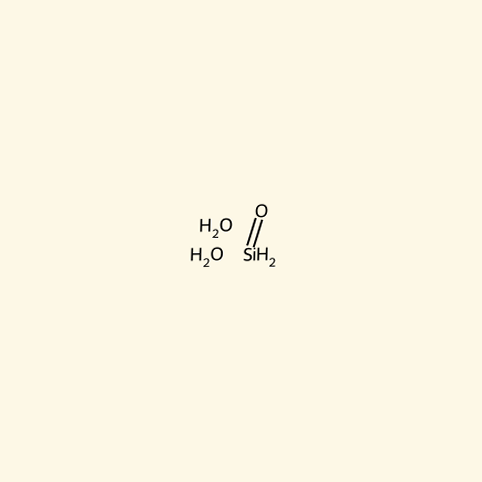 O.O.O=[SiH2]